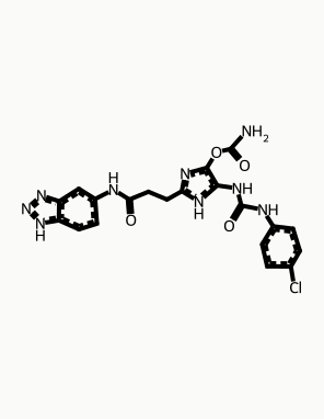 NC(=O)Oc1nc(CCC(=O)Nc2ccc3[nH]nnc3c2)[nH]c1NC(=O)Nc1ccc(Cl)cc1